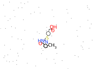 Cc1cccc2c(=O)[nH]c(CS[C@H]3CC[C@H](CC(=O)O)CC3)nc12